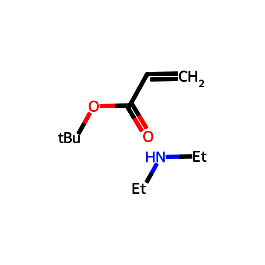 C=CC(=O)OC(C)(C)C.CCNCC